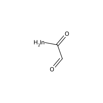 O=C[C](=O)[InH2]